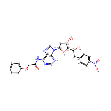 O=C(COc1ccccc1)Nc1ncnc2c1ncn2[C@H]1C[C@H](O)[C@@H](C(O)Cc2ccc([N+](=O)[O-])cc2)O1